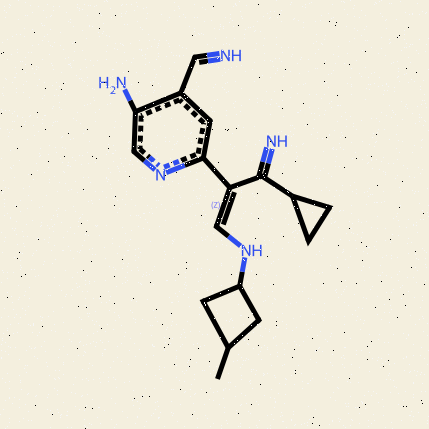 CC1CC(N/C=C(\C(=N)C2CC2)c2cc(C=N)c(N)cn2)C1